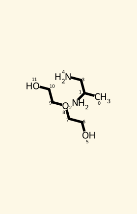 CC(N)CN.OCCOCCO